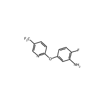 Nc1cc(Oc2ccc(C(F)(F)F)cn2)ccc1F